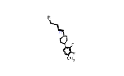 Cc1ccc(C2CCC(/C=C/CCF)CC2)c(F)c1F